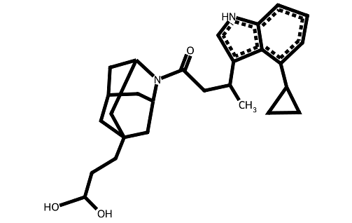 CC(CC(=O)N1C2CC3CC1CC(CCC(O)O)(C3)C2)c1c[nH]c2cccc(C3CC3)c12